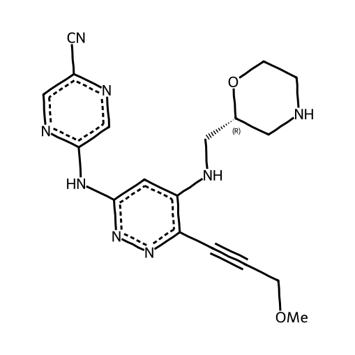 COCC#Cc1nnc(Nc2cnc(C#N)cn2)cc1NC[C@H]1CNCCO1